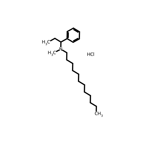 CCCCCCCCCCCCN(C)C(CC)c1ccccc1.Cl